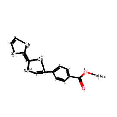 CCCCCCOC(=O)c1ccc(C2=C[Se]C(=C3[Se]C=C[Se]3)[Se]2)cc1